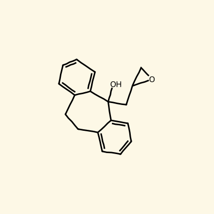 OC1(CC2CO2)c2ccccc2CCc2ccccc21